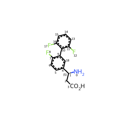 N[C@@H](CC(=O)O)c1ccc(F)c(-c2c(F)cccc2F)c1